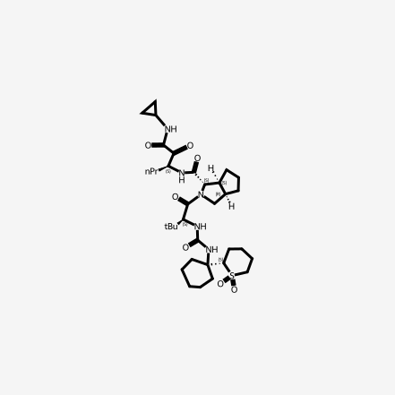 CCC[C@H](NC(=O)[C@@H]1[C@H]2CCC[C@H]2CN1C(=O)[C@@H](NC(=O)NC1([C@@H]2CCCCS2(=O)=O)CCCCC1)C(C)(C)C)C(=O)C(=O)NC1CC1